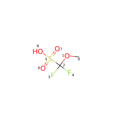 COC(F)(F)S(=O)(=O)O